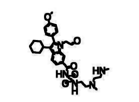 CNCCN(C)CCNS(=O)(=O)NC(=O)c1ccc2c(C3CCCCC3)c(-c3ccc(OC)cc3)n(CC=O)c2c1